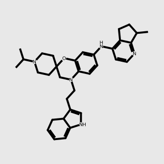 CC1CCc2c(Nc3ccc4c(c3)OC3(CCN(C(C)C)CC3)CN4CCC3=CNC4=CC=CCC34)ccnc21